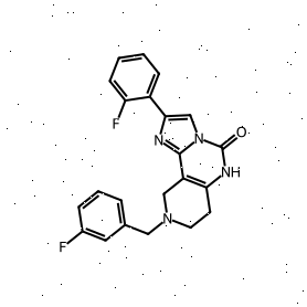 O=c1[nH]c2c(c3nc(-c4ccccc4F)cn13)CN(Cc1cccc(F)c1)CC2